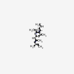 C=NN(C)/C=C(\C)NC/N=C(NC)\C(=C/CNC)[S+](C)[O-]